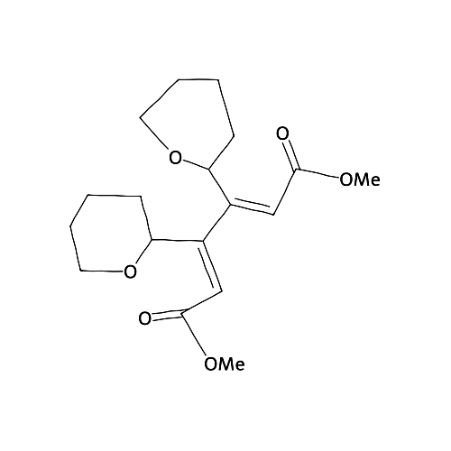 COC(=O)/C=C(/C(=C/C(=O)OC)C1CCCCO1)C1CCCCO1